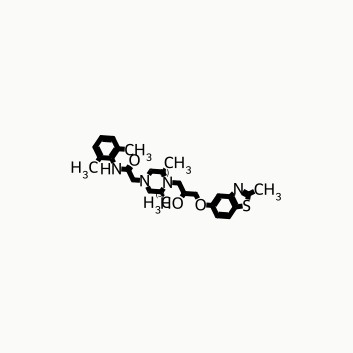 Cc1nc2cc(OCC(O)CN3[C@H](C)CN(CC(=O)Nc4c(C)cccc4C)C[C@@H]3C)ccc2s1